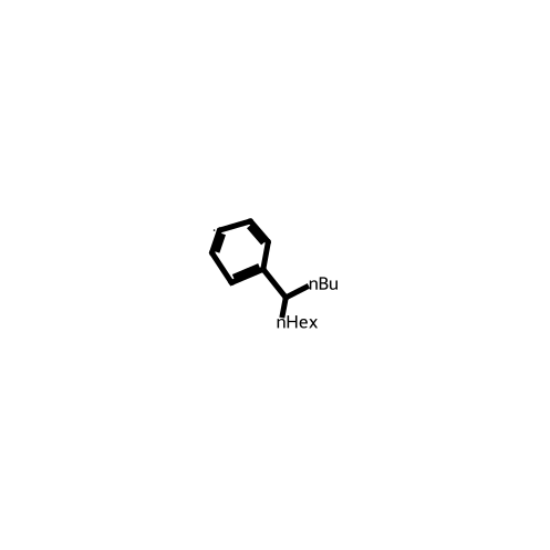 CCCCCCC(CCCC)c1cc[c]cc1